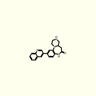 O=C1CC2CNCCN2c2cc(-c3cnc4ccccc4c3)ccc2N1